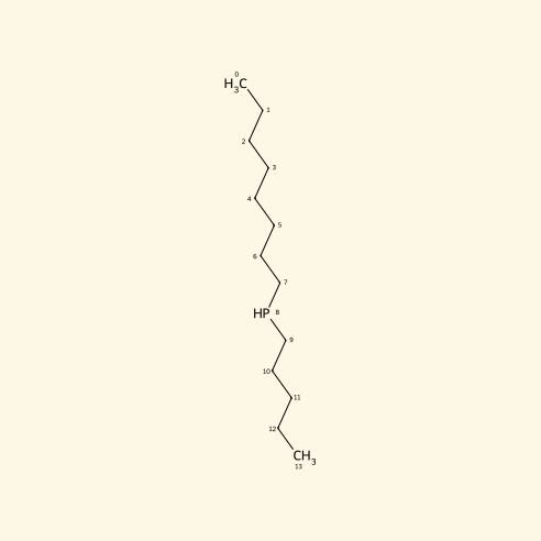 CCCCCCCCPCCCCC